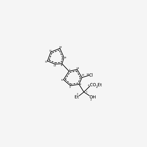 CCOC(=O)C(O)(CC)c1ccc(-c2ccccc2)cc1Cl